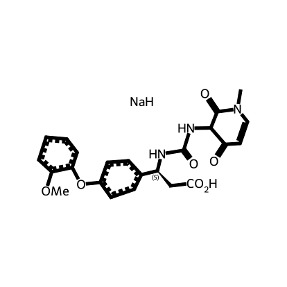 COc1ccccc1Oc1ccc([C@H](CC(=O)O)NC(=O)NC2C(=O)C=CN(C)C2=O)cc1.[NaH]